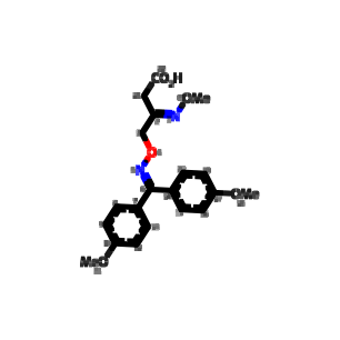 CON=C(CON=C(c1ccc(OC)cc1)c1ccc(OC)cc1)CC(=O)O